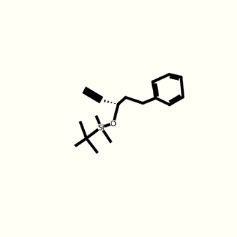 C#C[C@H](CCc1ccccc1)O[Si](C)(C)C(C)(C)C